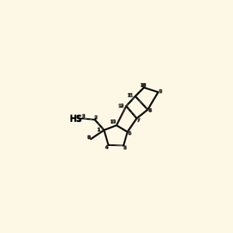 CC1(CS)CCC2C3C4CCC4C3C21